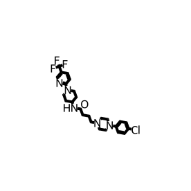 O=C(CCCN1CCN(c2ccc(Cl)cc2)CC1)NC1CCN(c2ccc(C(F)(F)F)cn2)CC1